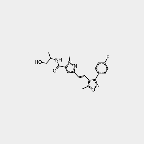 Cc1onc(-c2ccc(F)cc2)c1/C=C/c1cc(C(=O)NC(C)CO)n(C)n1